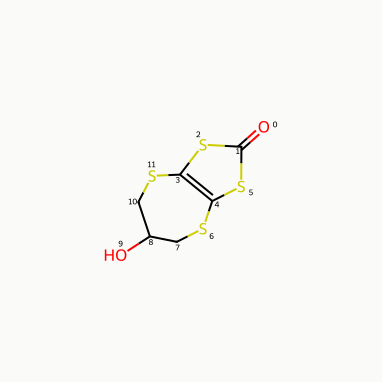 O=c1sc2c(s1)SCC(O)CS2